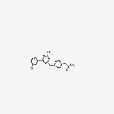 CC(=O)Cc1ccc(Cc2cc(C)nc(-c3cccc(Cl)c3)c2)cc1